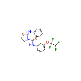 FC(F)C(F)(F)Oc1cccc(NC(=S)N2CCS/C2=N/c2ccccc2)c1